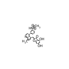 Cn1cc(C=C2Oc3cc(O)cc(O)c3C2=O)c2c(-c3cccc(NS(C)(=O)=O)c3)ccnc21